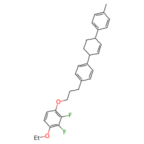 CCOc1ccc(OCCCc2ccc(C3C=CC(c4ccc(C)cc4)CC3)cc2)c(F)c1F